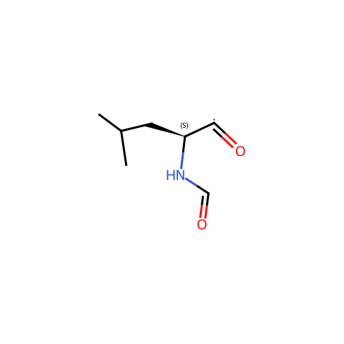 CC(C)C[C@@H]([C]=O)NC=O